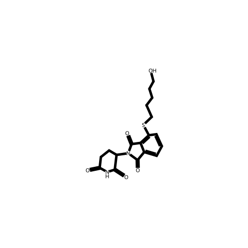 O=C1CCC(N2C(=O)c3cccc(SCCCCCO)c3C2=O)C(=O)N1